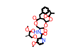 COC(=O)[C@H](C)COc1c(OC)ccnc1C(=O)NC1COC(=O)C(Cc2ccccc2)C(OC(=O)C(C)C)C(C)OC1=O